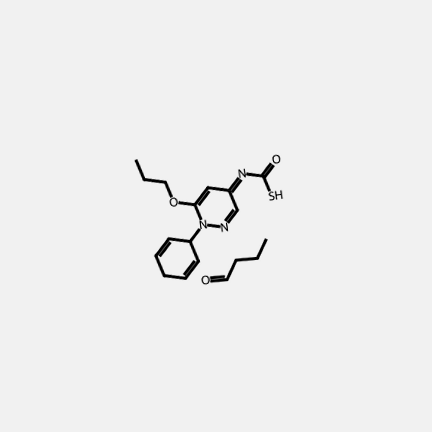 CCCC=O.CCCOc1cc(=NC(=O)S)cnn1C1C=CCC=C1